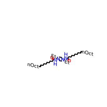 CCCCCCCCC=CCCCCCCCC(=O)NC(CC)N1CCN(C(CC)NC(=O)CCCCCCCC=CCCCCCCCC)CC1